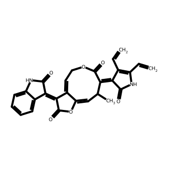 C=CC1=C(C=C)/C(=C2\C(=O)OC/C=C3C(=C/C2C)\OC(=O)C\3=C2\C(=O)Nc3ccccc32)C(=O)N1